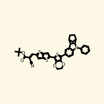 CC(C)(C)OC(=O)/C(C#N)=C/c1cc2sc(-c3sc(-c4ccc5c(c4)C4C6CCC(C6)C4N5c4ccccc4)c4c3OCCO4)cc2s1